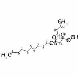 CCCCCCCCCCC[C@H](CC(=O)OC)OCCCC